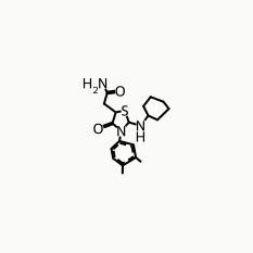 Cc1ccc(N2C(=O)C(CC(N)=O)SC2NC2CCCCC2)cc1C